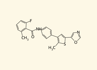 Cc1cccc(F)c1C(=O)Nc1ccc(-c2cc(-c3cnco3)sc2C)cc1